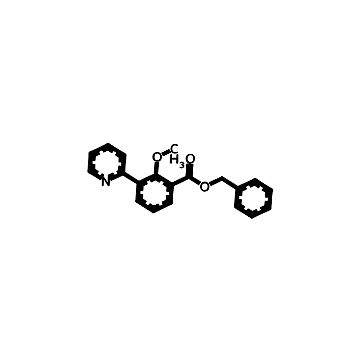 COc1c(C(=O)OCc2ccccc2)cccc1-c1ccccn1